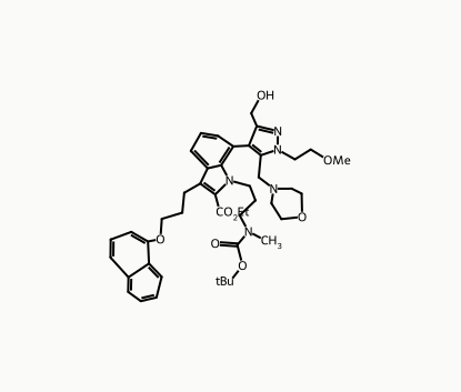 CCOC(=O)c1c(CCCOc2cccc3ccccc23)c2cccc(-c3c(CO)nn(CCOC)c3CN3CCOCC3)c2n1CCCN(C)C(=O)OC(C)(C)C